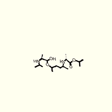 CC(C)N[C@@H](C)C(O)OC(C)CCC(C)N[C@H](C)C(=O)OC(C)C